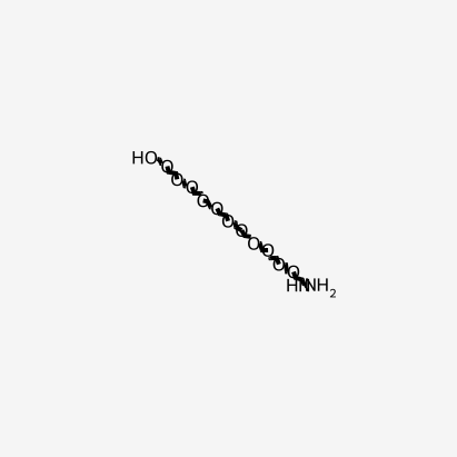 NNCCOCCOCCOCCOCCOCCOCCOCCOCCOCCOCCOCCO